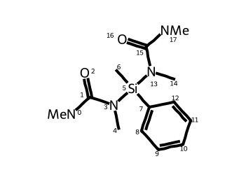 CNC(=O)N(C)[Si](C)(c1ccccc1)N(C)C(=O)NC